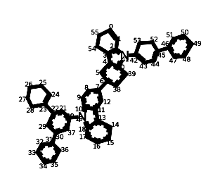 C1=Cc2c(c3cc(-c4ccc5c(c4)c4ccccc4n5-c4cc(C5=CCCCC5)cc(-c5ccccc5)c4)ccc3n2C2=CC=C(c3ccccc3)CC2)CC1